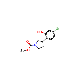 CC(C)(C)OC(=O)N1CCC(c2ccc(Br)cc2O)C1